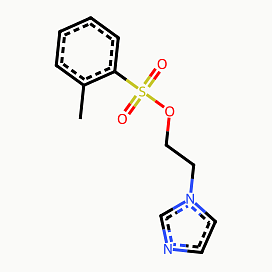 Cc1ccccc1S(=O)(=O)OCCn1ccnc1